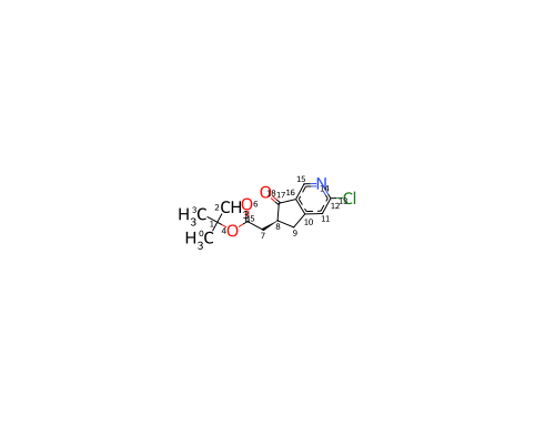 CC(C)(C)OC(=O)C[C@@H]1Cc2cc(Cl)ncc2C1=O